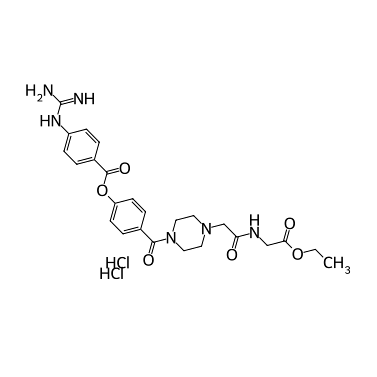 CCOC(=O)CNC(=O)CN1CCN(C(=O)c2ccc(OC(=O)c3ccc(NC(=N)N)cc3)cc2)CC1.Cl.Cl